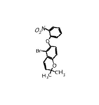 CC1(C)C=Cc2c(ccc(Oc3ccccc3[N+](=O)[O-])c2Br)O1